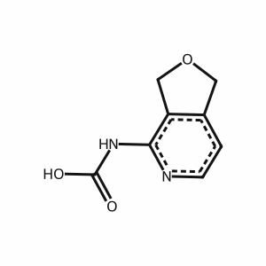 O=C(O)Nc1nccc2c1COC2